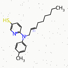 CCCCCC/C=C/CN(c1ccc(C)cc1)c1ccc(S)cn1